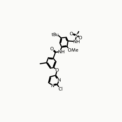 COc1c(NC(=O)c2cc(C)cc(Oc3ccnc(Cl)n3)c2)cc(C(C)(C)C)cc1NS(C)(=O)=O